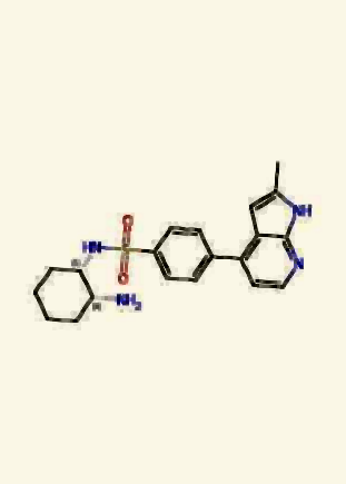 Cc1cc2c(-c3ccc(S(=O)(=O)N[C@H]4CCCC[C@H]4N)cc3)ccnc2[nH]1